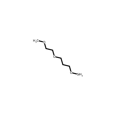 COCCOCCCO[SiH3]